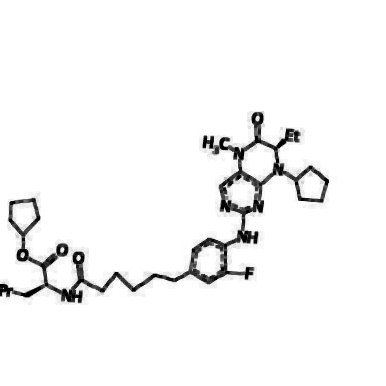 CC[C@@H]1C(=O)N(C)c2cnc(Nc3ccc(CCCCCC(=O)N[C@@H](CC(C)C)C(=O)OC4CCCC4)cc3F)nc2N1C1CCCC1